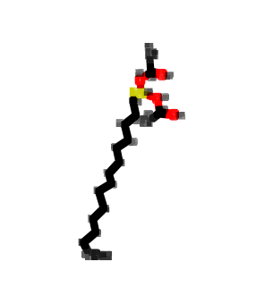 CCCCCCCCCCCCCCCCCCCCCCC[SH](OC(=O)CC)OC(=O)CC